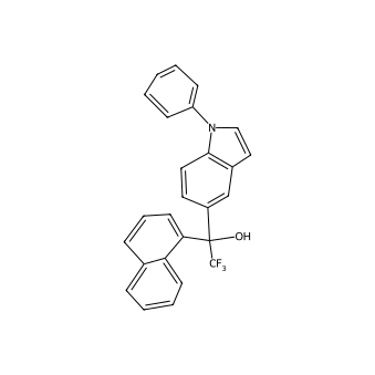 OC(c1ccc2c(ccn2-c2ccccc2)c1)(c1cccc2ccccc12)C(F)(F)F